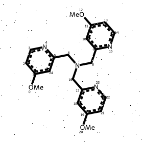 COc1ccnc(CN(Cc2cc(OC)ccn2)Cc2cc(OC)ccn2)c1